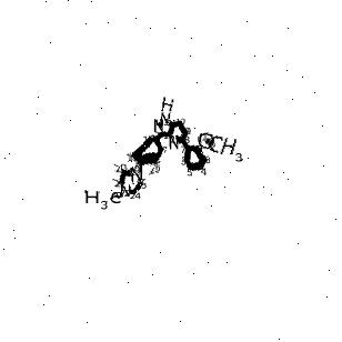 COc1ccccc1-c1ccc2[nH]nc(-c3ccc(N4CCN(C)CC4)cc3)c2n1